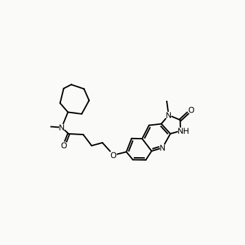 CN(C(=O)CCCOc1ccc2nc3[nH]c(=O)n(C)c3cc2c1)C1CCCCCC1